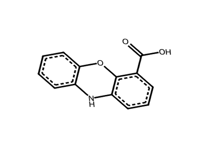 O=C(O)c1cccc2c1Oc1ccccc1N2